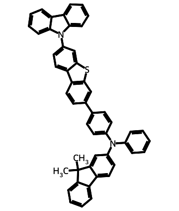 CC1(C)c2ccccc2-c2ccc(N(c3ccccc3)c3ccc(-c4ccc5c(c4)sc4cc(-n6c7ccccc7c7ccccc76)ccc45)cc3)cc21